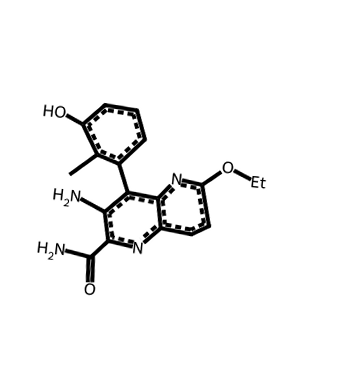 CCOc1ccc2nc(C(N)=O)c(N)c(-c3cccc(O)c3C)c2n1